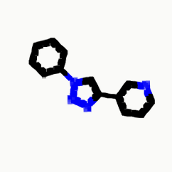 [c]1ccccc1-n1cc(-c2cccnc2)nn1